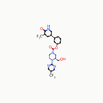 O=C(Oc1cccc(-c2c[nH]c(=O)c(C(F)(F)F)c2)c1)N1CCN(c2ncc(C(F)(F)F)cn2)[C@H](CO)C1